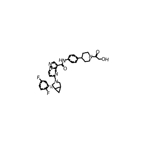 O=C(Nc1ccc(C2CCN(C(=O)CO)CC2)cc1)c1cnn2ccc(N3CC4CC4[C@@H]3c3cc(F)ccc3F)nc12